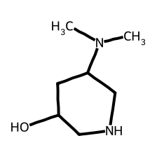 CN(C)C1CNCC(O)C1